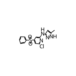 Cc1cc(Nc2cc(S(=O)(=O)c3ccccc3)cc(Cl)n2)n[nH]1